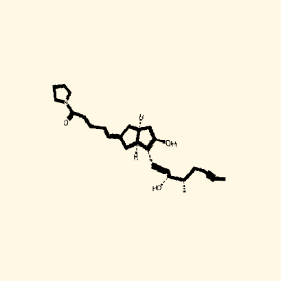 CC#CC[C@H](C)[C@H](O)/C=C/[C@@H]1[C@H]2C/C(=C/CCCC(=O)N3CCCC3)C[C@H]2C[C@H]1O